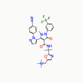 Cn1c(-c2ccnn2-c2ccc(C#N)cc2)c(C(=O)NC(C)(C)c2ncc(C[N+](C)(C)C)o2)c(=O)n1-c1cccc(C(F)(F)F)c1